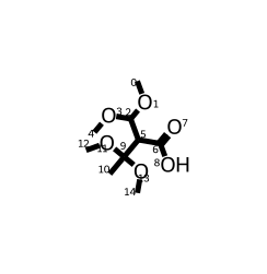 COC(OC)C(C(=O)O)C(C)(OC)OC